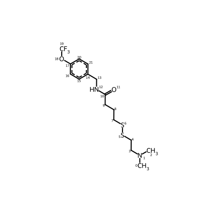 CN(C)CCSSCCCC(=O)NCc1ccc(OC(F)(F)F)cc1